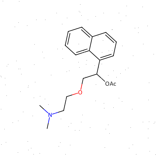 CC(=O)OC(COCCN(C)C)c1cccc2ccccc12